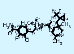 CC1=NCC(C)([C@H](CC(=O)NC[C@H](Cc2ccc(C(N)=O)c(F)c2Cl)N(C)C)C2(C(F)(F)F)CC2)C=C1